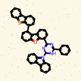 c1ccc(C2=NC(c3cccc4c3oc3cccc(-c5cccc6c5sc5ccccc56)c34)=NC(n3c4ccccc4c4ccccc43)N2)cc1